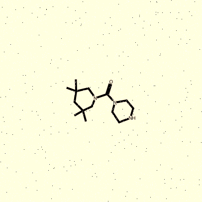 CC1(C)CN(C(=O)N2CCNCC2)CC(C)(C)C1